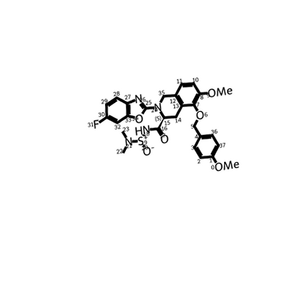 COc1ccc(COc2c(OC)ccc3c2C[C@@H](C(=O)N[S+]([O-])N(C)C)N(c2nc4ccc(F)cc4o2)C3)cc1